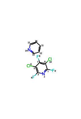 Fc1nc(F)c(Cl)c(F)c1Cl.c1ccncc1